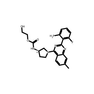 Cc1ccc2c(N3CC[C@@H](NC(=O)OCCO)C3)nc(-c3c(F)cccc3P)nc2c1